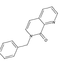 O=c1c2ncccc2ccn1Cc1ccccc1